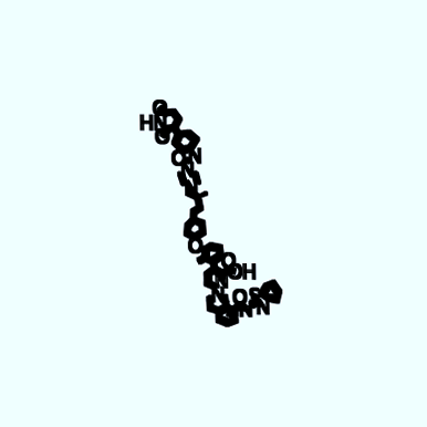 Cc1c(OC2CCC(CC[C@H](C)CN3CCN(c4nc5ccc(C6CCC(=O)NC6=O)cc5o4)CC3)CC2)cccc1-c1ccc(N2CCc3cccc(C(=O)Nc4nc5ccccc5s4)c3C2)nc1C(=O)O